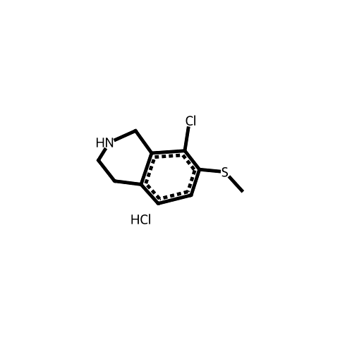 CSc1ccc2c(c1Cl)CNCC2.Cl